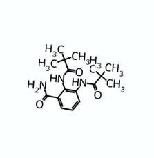 CC(C)(C)C(=O)Nc1cccc(C(N)=O)c1NC(=O)C(C)(C)C